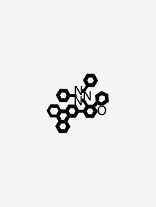 C1=Cc2c(c3ccccc3c3cc(-c4ccc5oc6ccccc6c5c4-c4nc(-c5ccccc5)nc(-c5ccccc5)n4)ccc23)CC1